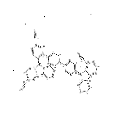 N#Cc1ccc(-n2c3ccccc3c3cc(C#N)ccc32)c(-c2ccc(-c3ccc(-n4c5ccccc5c5cccc(C#N)c54)cc3)cc2)c1